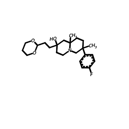 CC1(c2ccc(F)cc2)CCC2(C)CC(O)(CCC3OCCCO3)CCN2C1